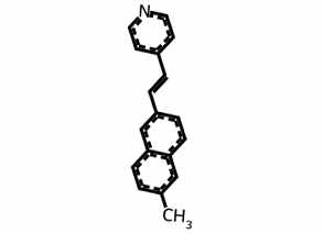 Cc1ccc2cc(/C=C/c3ccncc3)ccc2c1